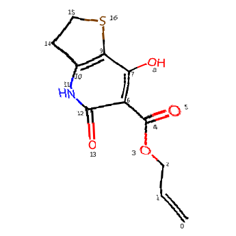 C=CCOC(=O)c1c(O)c2c([nH]c1=O)CCS2